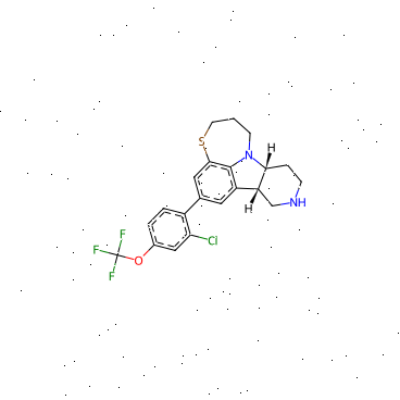 FC(F)(F)Oc1ccc(-c2cc3c4c(c2)[C@H]2CNCC[C@H]2N4CCCS3)c(Cl)c1